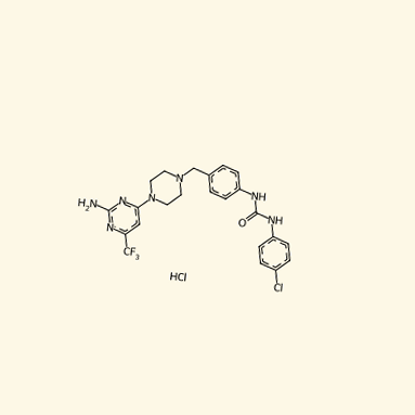 Cl.Nc1nc(N2CCN(Cc3ccc(NC(=O)Nc4ccc(Cl)cc4)cc3)CC2)cc(C(F)(F)F)n1